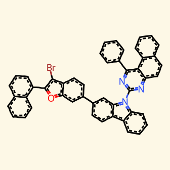 Brc1c(-c2cccc3ccccc23)oc2cc(-c3ccc4c5ccccc5n(-c5nc(-c6ccccc6)c6c(ccc7ccccc76)n5)c4c3)ccc12